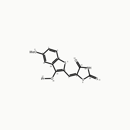 COc1ccc2sc(C=C3SC(=S)NC3=O)c(OC(C)C)c2c1